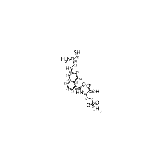 CS(=O)(=O)CCC(NC(=O)c1cccc2cc(NC[C@@H](N)CS)ccc12)C(=O)O